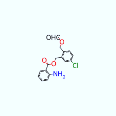 Nc1ccccc1C(=O)OCc1cc(Cl)ccc1COC=O